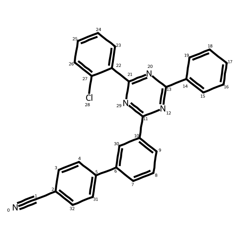 N#Cc1ccc(-c2cccc(-c3nc(-c4ccccc4)nc(-c4ccccc4Cl)n3)c2)cc1